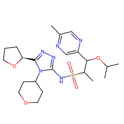 Cc1cnc(C(OC(C)C)C(C)S(=O)(=O)Nc2nnc([C@@H]3CCCO3)n2C2CCOCC2)cn1